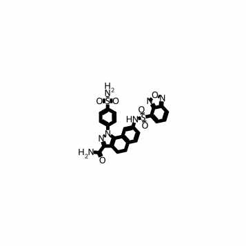 NC(=O)c1nn(-c2ccc(S(N)(=O)=O)cc2)c2c1CCc1ccc(NS(=O)(=O)c3cccc4nonc34)cc1-2